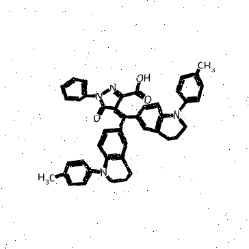 Cc1ccc(N2CCCc3cc(C(=C4C(=O)N(c5ccccc5)N=C4C(=O)O)c4ccc5c(c4)CCCN5c4ccc(C)cc4)ccc32)cc1